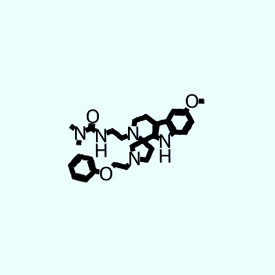 COc1ccc2[nH]c3c(c2c1)CCN(CCNC(=O)N(C)C)C31CCN(CCOc2ccccc2)C1